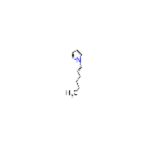 CCCCC=Cn1cccc1